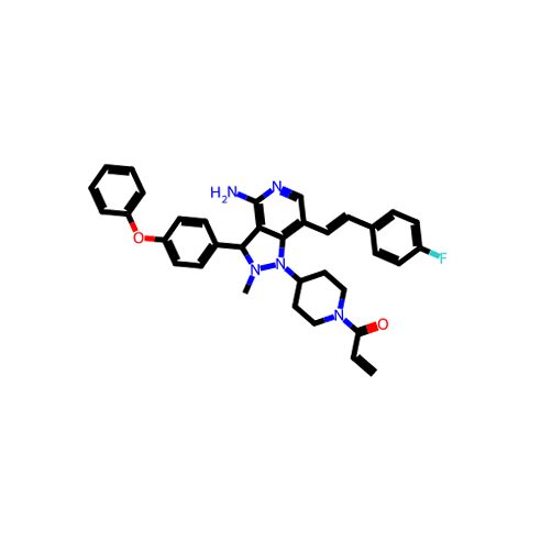 C=CC(=O)N1CCC(N2c3c(/C=C/c4ccc(F)cc4)cnc(N)c3C(c3ccc(Oc4ccccc4)cc3)N2C)CC1